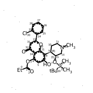 CCC(=O)Oc1cc(O)c([C@H]2CCN(C)C[C@H]2O[Si](C)(C)C(C)(C)C)c2oc(-c3ccccc3Cl)cc(=O)c12